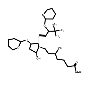 CCCCC(C)(C)C(/C=C/[C@@H]1[C@@H](CCC(O)CCCC(=O)OC)[C@@H](O)C[C@H]1OC1CCCCO1)OC1CCCCO1